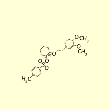 COC1=CC(CCO[C@@H]2CCCC[C@@H]2OS(=O)(=O)c2ccc(C)cc2)=CCC1OC